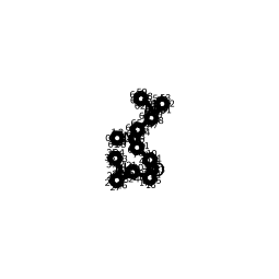 c1ccc(-n2c3ccc(-c4ccc5oc6cccc(-c7ccc8c(c7)c7ccccc7n8-c7ccccc7)c6c5c4)cc3c3cc(-c4ccc5c6ccccc6n(-c6ccccc6)c5c4)ccc32)cc1